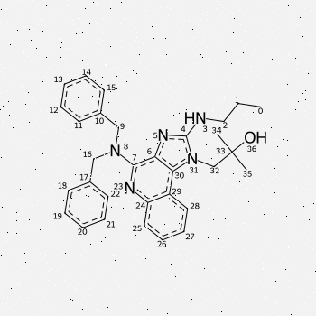 CCCNc1nc2c(N(Cc3ccccc3)Cc3ccccc3)nc3ccccc3c2n1CC(C)(C)O